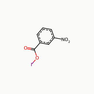 O=C(OI)c1cccc([N+](=O)[O-])c1